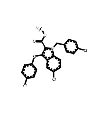 COC(=O)c1c(Oc2ccc(Cl)cc2)c2cc(Cl)ccc2n1Cc1ccc(Cl)cc1